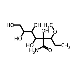 CCC(OC)C(O)(C(N)=O)C(O)C(O)C(O)CO